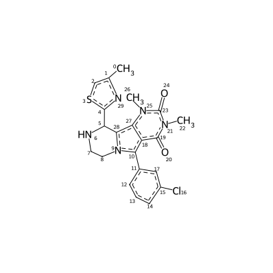 Cc1csc(C2NCCn3c(-c4cccc(Cl)c4)c4c(=O)n(C)c(=O)n(C)c4c32)n1